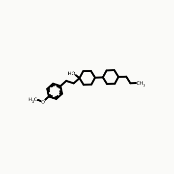 CCCC1CCC(C2CCC(O)(CCc3ccc(OC)cc3)CC2)CC1